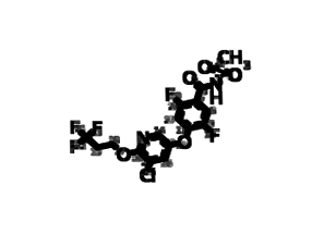 CS(=O)(=O)NC(=O)c1cc(F)c(Oc2cnc(OCCC(F)(F)F)c(Cl)c2)cc1F